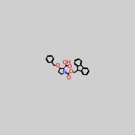 O=C(O)[C@@H]1C(OCc2ccccc2)CCN1C(=O)OCC1c2ccccc2-c2ccccc21